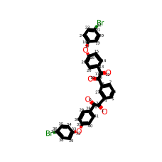 O=C(C(=O)c1cccc(C(=O)C(=O)c2ccc(Oc3ccc(Br)cc3)cc2)c1)c1ccc(Oc2ccc(Br)cc2)cc1